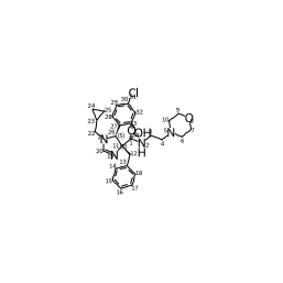 O=C(NCCN1CCOCC1)[C@]1(Cc2ccccc2)N=CN(CC2CC2)[C@H]1c1ccc(Cl)cc1O